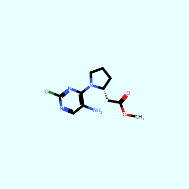 COC(=O)C[C@H]1CCCN1c1nc(Cl)ncc1N